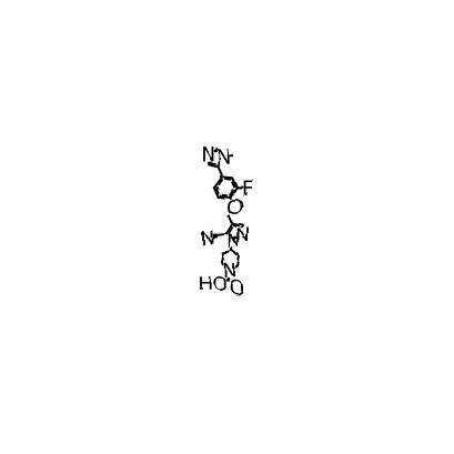 Cn1cncc1-c1ccc(OCc2cnn(C3CCN(C(=O)O)CC3)c2C#N)c(F)c1